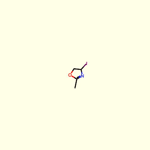 CC1=NC(I)CO1